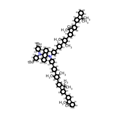 Cc1cc(-c2ccc3c(c2)C(C)(C)c2cc(-c4ccc5c(c4)C(C)(C)c4ccccc4-5)ccc2-3)cc(C)c1-c1ccc(-c2ccc(N(c3ccc(-c4ccc(-c5c(C)cc(-c6ccc7c(c6)C(C)(C)c6cc(-c8ccc9c(c8)C(C)(C)c8ccccc8-9)ccc6-7)cc5C)cc4)cc3)c3c4ccccc4c(N(c4ccc(C(C)(C)C)cc4)c4ccc(C(C)(C)C)cc4)c4ccccc34)cc2)cc1